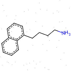 NC[CH]CCc1cccc2ccccc12